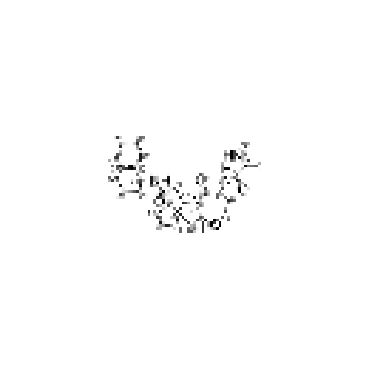 CN[C@@H](C)C(=O)N[C@H]1CCO[C@H]2CC3(CC=CC3)C(CC(=O)N[C@@H]3CCCc4ccccc43)N2C1=O